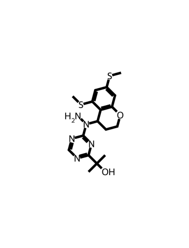 CSc1cc2c(c(SC)c1)C(N(N)c1ncnc(C(C)(C)O)n1)CCO2